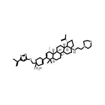 C=C(C)c1cc(OCC2(C(=O)O)CC=C(C3=C[C@H](C)[C@H]4[C@@H](CC[C@]5(C)[C@@H]4CC[C@@H]4[C@H]6[C@H](C(=C)C)CC[C@]6(NCCN6CCSCC6)CC[C@]45C)C3(C)C)CC2)ns1